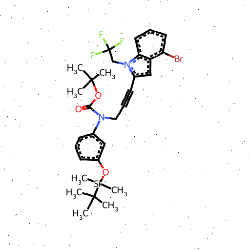 CC(C)(C)OC(=O)N(CC#Cc1cc2c(Br)cccc2n1CC(F)(F)F)c1cccc(O[Si](C)(C)C(C)(C)C)c1